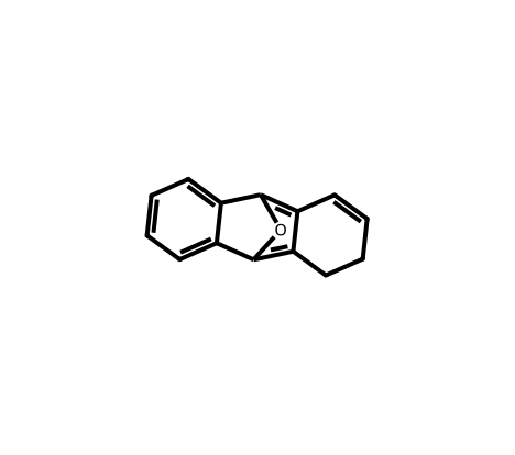 C1=Cc2c(c3oc2c2ccccc32)CC1